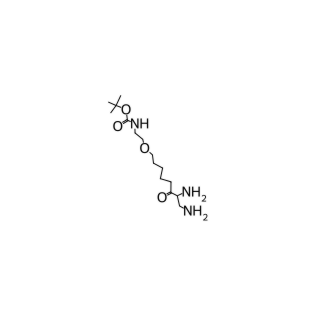 CC(C)(C)OC(=O)NCCOCCCCCC(=O)C(N)CN